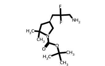 CC(C)(C)OC(=O)N1C[C@H](CC(F)(F)CN)CC1(C)C